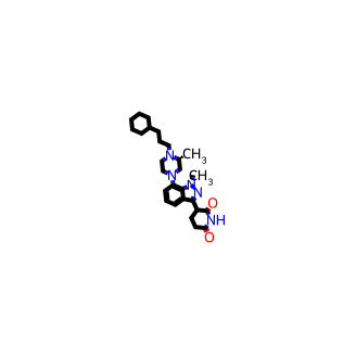 C[C@H]1CN(c2cccc3c(C4CCC(=O)NC4=O)nn(C)c23)CCN1CCCC1CCCCC1